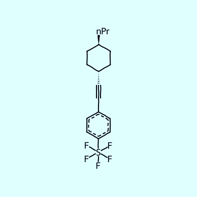 CCC[C@H]1CC[C@H](C#Cc2ccc(S(F)(F)(F)(F)F)cc2)CC1